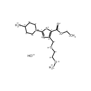 CCOC(=O)c1sc(N2CCC(N)CC2)nc1COCCOC.Cl